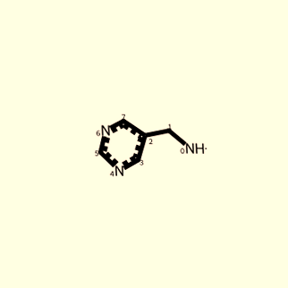 [NH]Cc1cncnc1